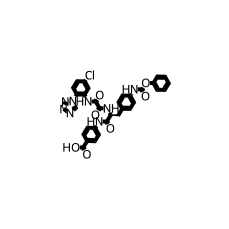 O=C(Nc1ccc(C[C@H](NC(=O)C(=O)Nc2cc(Cl)ccc2-n2cnnn2)C(=O)Nc2ccc(C(=O)O)cc2)cc1)Oc1ccccc1